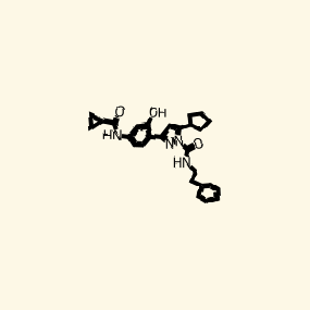 O=C(Nc1ccc(-c2cc(C3CCCC3)n(C(=O)NCCc3ccccc3)n2)c(O)c1)C1CC1